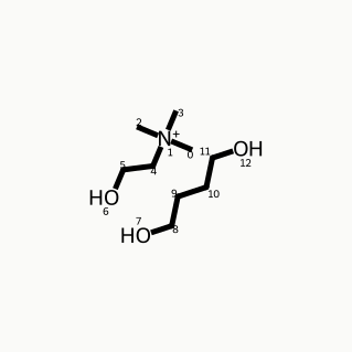 C[N+](C)(C)CCO.OCCCCO